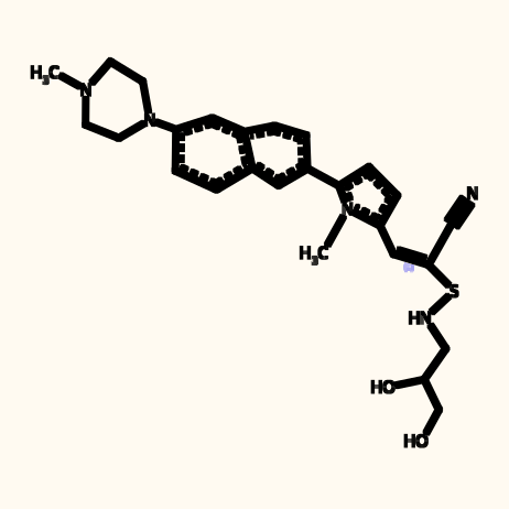 CN1CCN(c2ccc3cc(-c4ccc(/C=C(\C#N)SNCC(O)CO)n4C)ccc3c2)CC1